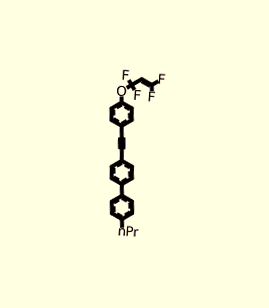 CCCc1ccc(-c2ccc(C#Cc3ccc(OC(F)(F)C=C(F)F)cc3)cc2)cc1